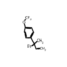 C=CC(C)(CC)c1ccc(OC(F)(F)F)cc1